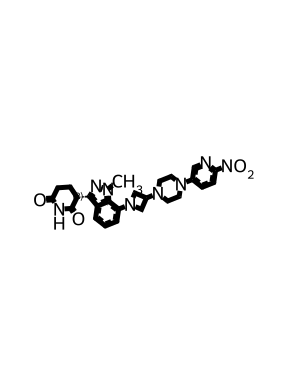 Cn1nc([C@H]2CCC(=O)NC2=O)c2cccc(N3CC(N4CCN(c5ccc([N+](=O)[O-])nc5)CC4)C3)c21